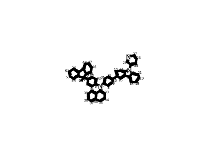 CC1(c2ccc(N(c3ccc(-c4ccc5c(c4)c4ccccc4n5-c4cccnc4)cc3)c3cccc4ccccc34)cc2)c2ccccc2-c2ccccc21